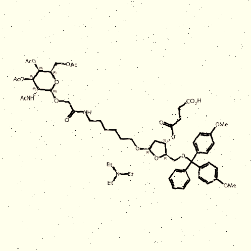 CCN(CC)CC.COc1ccc(C(OC[C@H]2O[C@@H](OCCCCCCNC(=O)CO[C@@H]3O[C@H](COC(C)=O)[C@H](OC(C)=O)[C@H](OC(C)=O)[C@H]3NC(C)=O)C[C@@H]2OC(=O)CCC(=O)O)(c2ccccc2)c2ccc(OC)cc2)cc1